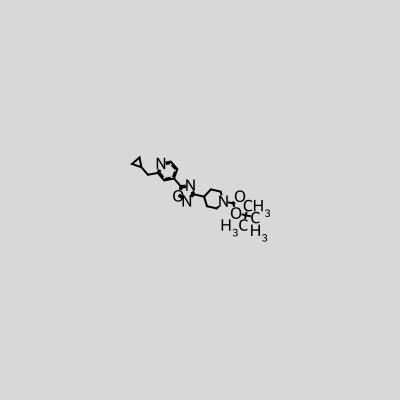 CC(C)(C)OC(=O)N1CCC(c2noc(-c3ccnc(CC4CC4)c3)n2)CC1